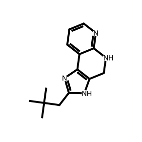 CC(C)(C)Cc1nc2c([nH]1)CNc1ncccc1-2